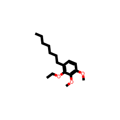 CCCCCCCc1ccc(OC)c(OC)c1OCC